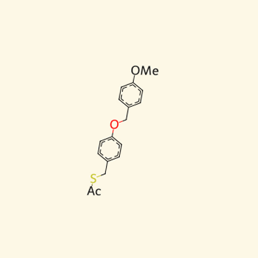 COc1ccc(COc2ccc(CSC(C)=O)cc2)cc1